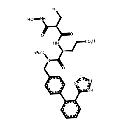 CCCCCN(Cc1ccc(-c2ccccc2-c2nnn[nH]2)cc1)C(=O)[C@H](CCC(=O)O)NC(=O)C(CC(C)C)C(=O)NO